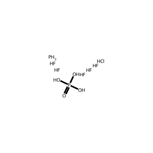 Cl.F.F.F.F.F.O=P(O)(O)O.P